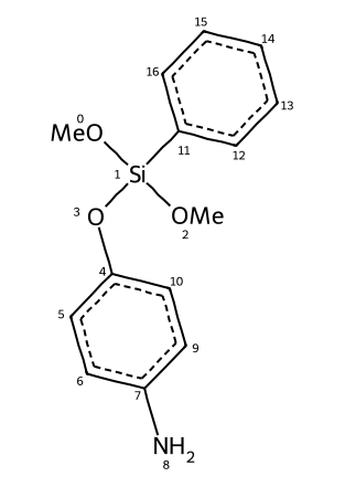 CO[Si](OC)(Oc1ccc(N)cc1)c1ccccc1